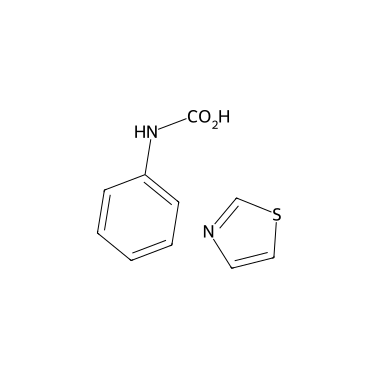 O=C(O)Nc1ccccc1.c1cscn1